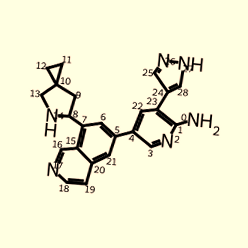 Nc1ncc(-c2cc(C3CC4(CC4)CN3)c3cnccc3c2)cc1-c1cn[nH]c1